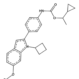 CCOc1ccc2cc(-c3ccc(NC(=O)OC(C)C4CC4)cc3)n(C3CCC3)c2c1